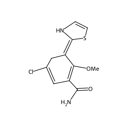 COC1=C(C(N)=O)C=C(Cl)CC1=C1NC=CS1